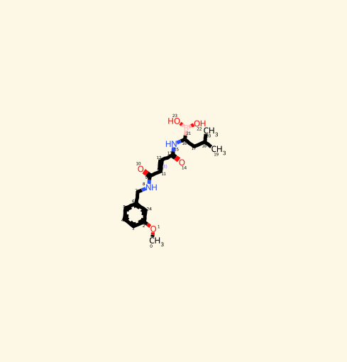 COc1cccc(CNC(=O)/C=C/C(=O)NC(CC(C)C)B(O)O)c1